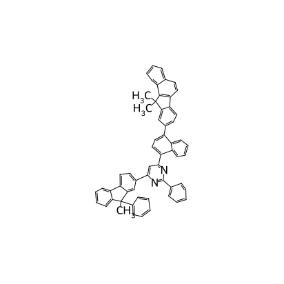 CC1(C)c2cc(-c3ccc(-c4cc(-c5ccc6c(c5)C(C)(c5ccccc5)c5ccccc5-6)nc(-c5ccccc5)n4)c4ccccc34)ccc2-c2ccc3ccccc3c21